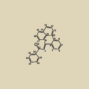 O=C(/C=C/c1ccccc1-c1cccc2ccccc12)c1ccccc1